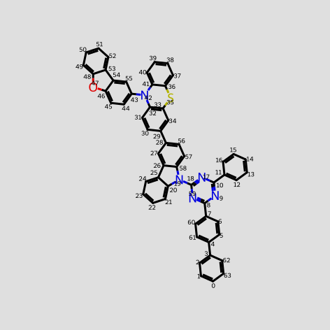 c1ccc(-c2ccc(-c3nc(-c4ccccc4)nc(-n4c5ccccc5c5cc(-c6ccc7c(c6)Sc6ccccc6N7c6ccc7oc8ccccc8c7c6)ccc54)n3)cc2)cc1